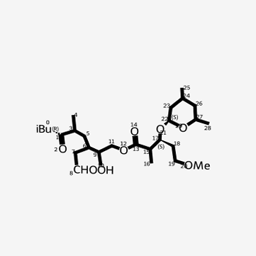 CC[C@@H](C)C(=O)C(C)CC(CC=O)C(O)COC(=O)C(C)[C@H](CCOC)O[C@H]1CC(C)CC(C)O1